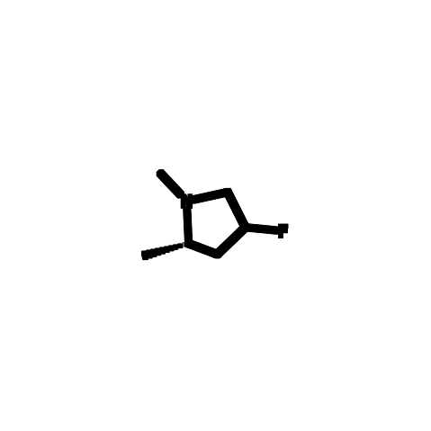 C[C@H]1CC(F)CN1C